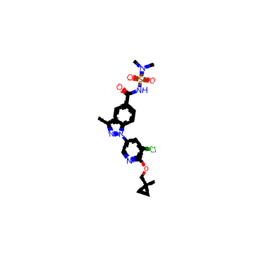 Cc1nn(-c2cnc(OCC3(C)CC3)c(Cl)c2)c2ccc(C(=O)NS(=O)(=O)N(C)C)cc12